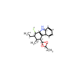 CCC1C(F)C2=C(C3C=CC=CC3N2)C(C2OC(C)O2)C1C